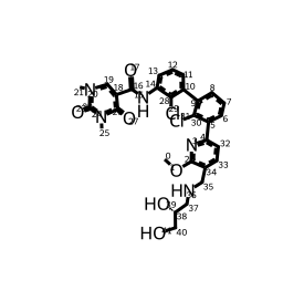 COc1nc(-c2cccc(-c3cccc(NC(=O)c4cn(C)c(=O)n(C)c4=O)c3Cl)c2Cl)ccc1CNC[C@@H](O)CO